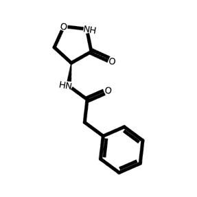 O=C(Cc1ccccc1)N[C@H]1CONC1=O